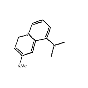 CNC1=CCN2C=CC=C(N(C)C)C2=C1